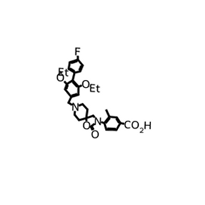 CCOc1cc(CN2CCC3(CC2)CN(c2ccc(C(=O)O)cc2C)C(=O)O3)cc(OCC)c1-c1ccc(F)cc1